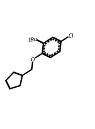 CC(C)(C)c1cc(Cl)ccc1OCC1CCCC1